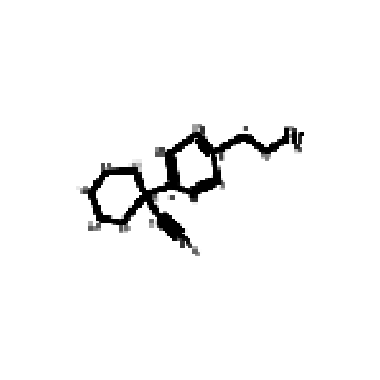 N#CC1(c2ccc(CCBr)cc2)CCCCC1